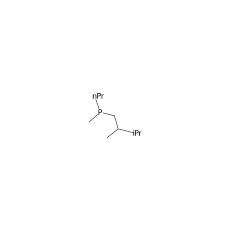 CCCP(C)CC(C)C(C)C